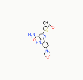 Cc1cc(-c2cc(C(N)=O)c3[nH]c4cc(N5CCOCC5)ccc4c3n2)sc1C=O